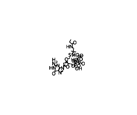 CCC(=O)NCC(C)(C)SSCO[C@@H]1C[C@H](n2cnc3c(=O)[nH]c(N)nc32)OC1COP(=O)(O)OP(=O)(O)OP(=O)(O)O